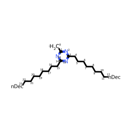 [CH2]c1nc(CCCCCCCCCCCCCCCCCC)nc(CCCCCCCCCCCCCCCCCC)n1